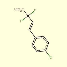 CCOC(=O)C(F)(F)C=Cc1ccc(Cl)cc1